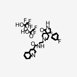 O=C(NCCN1CCC2(CC1)C(=O)NC[C@@H]2c1ccc(F)cc1)c1cnc2ccccc2c1.O=C(O)C(F)(F)F.O=C(O)C(F)(F)F